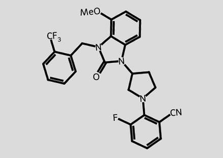 COc1cccc2c1n(Cc1ccccc1C(F)(F)F)c(=O)n2C1CCN(c2c(F)cccc2C#N)C1